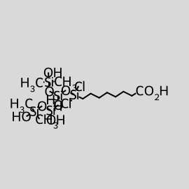 C[Si](C)(O)O[SiH](O)O[SiH](O[Si](C)(C)O)O[Si](Cl)(Cl)CCCCCCCC(=O)O